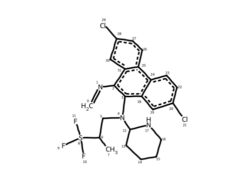 C=Nc1c(N(CC(C)S(F)(F)F)C2CCCCN2)c2cc(Cl)ccc2c2ccc(Cl)cc12